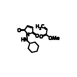 C=CC(=O)OC.O=C1C=CC(=O)N1NC1CCCCC1